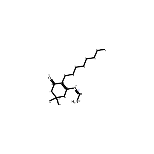 CCCCCCCCC1=C(/N=C\N)CC(C)(C)CC1=O